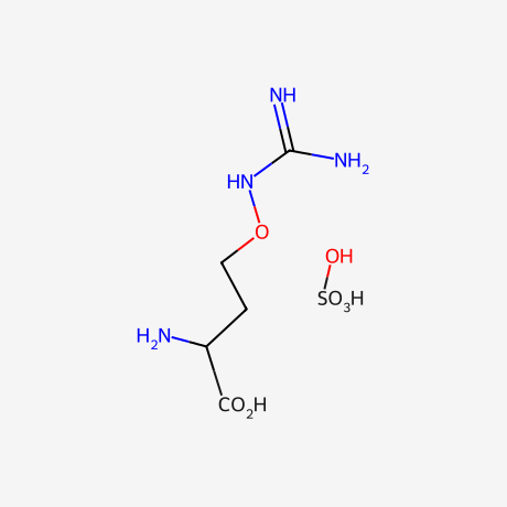 N=C(N)NOCCC(N)C(=O)O.O=S(=O)(O)O